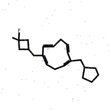 CC1(F)CC(CC2=C/C/C=C(CC3CCCC3)\C=C\C\C=C\2)C1